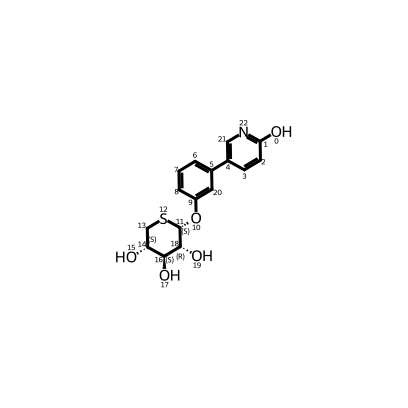 Oc1ccc(-c2cccc(O[C@H]3SC[C@@H](O)[C@H](O)[C@H]3O)c2)cn1